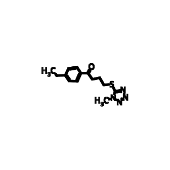 CCc1ccc(C(=O)CCCSc2nnnn2C)cc1